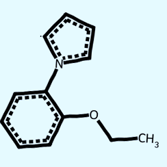 CCOc1ccccc1-n1[c]ccc1